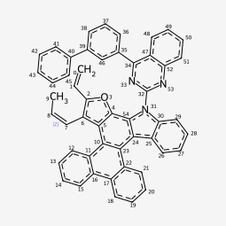 C=Cc1oc2c(c1/C=C\C)c1c3ccccc3c3ccccc3c1c1c3ccccc3n(-c3nc(-c4cccc(-c5ccccc5)c4)c4ccccc4n3)c21